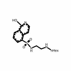 CCCCCCNCCNS(=O)(=O)c1cccc2c(O)nccc12